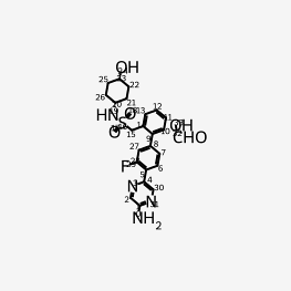 Nc1cnc(-c2ccc(-c3ccccc3CS(=O)(=O)N[C@H]3CC[C@H](O)CC3)cc2F)cn1.O=CO